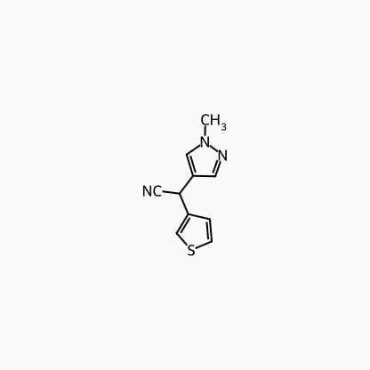 Cn1cc(C(C#N)c2ccsc2)cn1